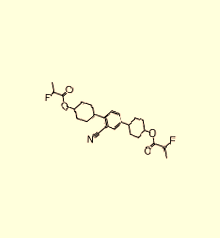 CC(F)C(=O)OC1CCC(c2ccc(C3CCC(OC(=O)C(C)F)CC3)c(C#N)c2)CC1